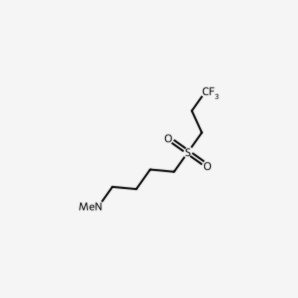 CNCCCCS(=O)(=O)CCC(F)(F)F